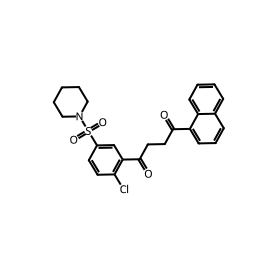 O=C(CCC(=O)c1cccc2ccccc12)c1cc(S(=O)(=O)N2CCCCC2)ccc1Cl